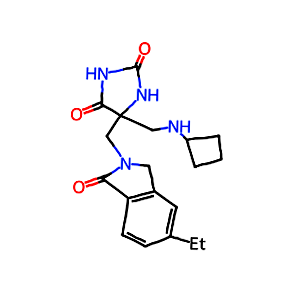 CCc1ccc2c(c1)CN(CC1(CNC3CCC3)NC(=O)NC1=O)C2=O